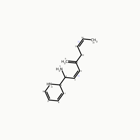 C=C(/C=C\C(N)C1C=CC=CN1)C/C=C\C